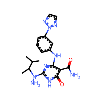 CC(C)C(C)N(N)c1nc(Nc2cccc(-n3nccn3)c2)c(C(N)=O)c(=O)[nH]1